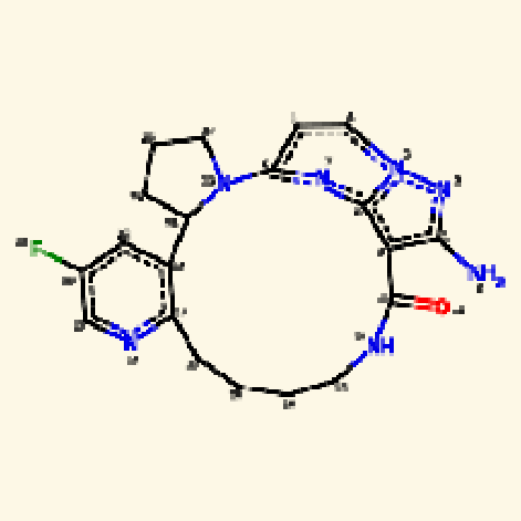 Nc1nn2ccc3nc2c1C(=O)NCCCCc1ncc(F)cc1C1CCCN31